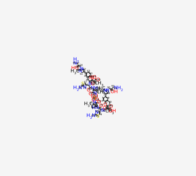 C[n+]1cc(-c2ccc3c(c2)CC[C@H]([C@](C)(O/N=C(\C(=O)N[C@@H]2C(=O)N(OS(=O)(=O)ON4C(=O)[C@@H](NC(=O)/C(=N\O[C@](C)(C(=O)O)[C@H]5CCc6cc(-c7cn(C[C@@H](O)CN)[n+](C)c7)ccc6O5)c5csc(N)n5)C4(C)C)C2(C)C)c2csc(N)n2)C(=O)O)O3)cn1C[C@@H](O)CN